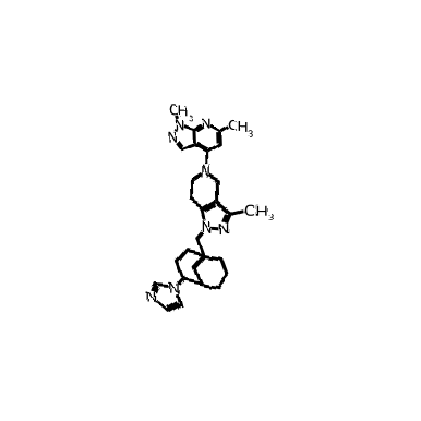 Cc1cc(N2CCc3c(c(C)nn3CC34CCCC(C3)C(n3ccnc3)CC4)C2)c2cnn(C)c2n1